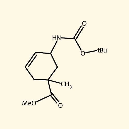 COC(=O)C1(C)CC=CC(NC(=O)OC(C)(C)C)C1